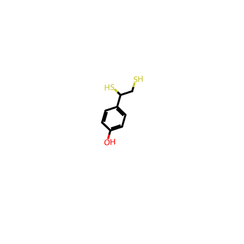 Oc1ccc(C(S)CS)cc1